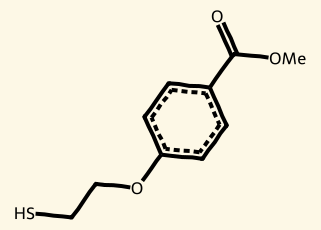 COC(=O)c1ccc(OCCS)cc1